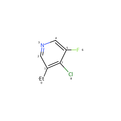 C[CH]c1cncc(F)c1Cl